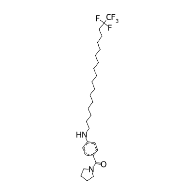 O=C(c1ccc(NCCCCCCCCCCCCCCCCC(F)(F)C(F)(F)F)cc1)N1CCCC1